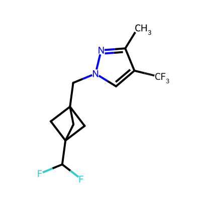 Cc1nn(CC23CC(C(F)F)(C2)C3)cc1C(F)(F)F